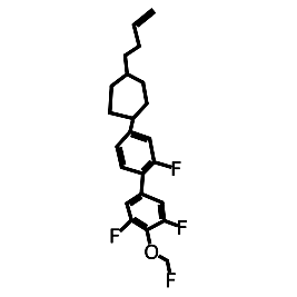 C=CCCC1CCC(c2ccc(-c3cc(F)c(OCF)c(F)c3)c(F)c2)CC1